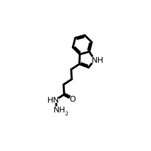 NNC(=O)CCCc1c[nH]c2ccccc12